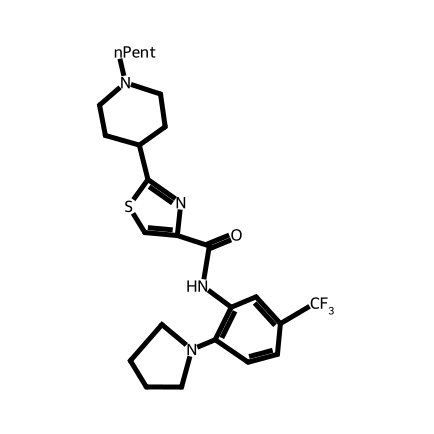 CCCCCN1CCC(c2nc(C(=O)Nc3cc(C(F)(F)F)ccc3N3CCCC3)cs2)CC1